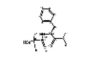 CC(C)C(=O)[C@H](Cc1ccccc1)NC(=O)C(C)(C)S